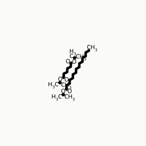 CC(C)OC(=O)CCCCC(=O)OC(C)C.CCCCCCCCCCCCCCCC(=O)OC(C)C